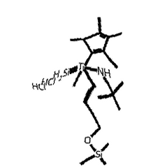 CC1=C(C)C(C)[C]([Ti]([CH3])(=[SiH2])([CH2]CCO[Si](C)(C)C)[NH]C(C)(C)C)=C1C.Cl.Cl